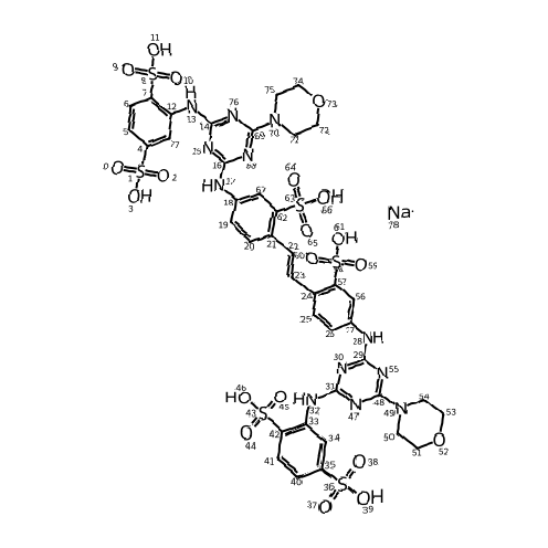 O=S(=O)(O)c1ccc(S(=O)(=O)O)c(Nc2nc(Nc3ccc(C=Cc4ccc(Nc5nc(Nc6cc(S(=O)(=O)O)ccc6S(=O)(=O)O)nc(N6CCOCC6)n5)cc4S(=O)(=O)O)c(S(=O)(=O)O)c3)nc(N3CCOCC3)n2)c1.[Na]